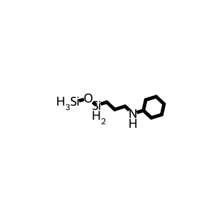 [SiH3]O[SiH2]CCCNC1CCCCC1